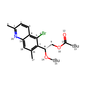 Cc1ccc2c(Br)c([C@H](COC(=O)C(C)(C)C)OC(C)(C)C)c(C)cc2n1